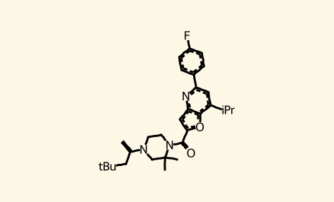 C=C(CC(C)(C)C)N1CCN(C(=O)c2cc3nc(-c4ccc(F)cc4)cc(C(C)C)c3o2)C(C)(C)C1